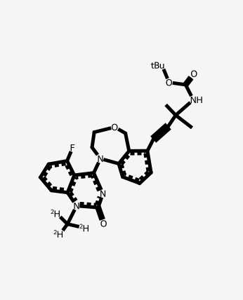 [2H]C([2H])([2H])n1c(=O)nc(N2CCOCc3c(C#CC(C)(C)NC(=O)OC(C)(C)C)cccc32)c2c(F)cccc21